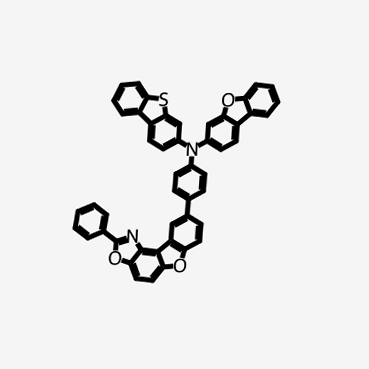 c1ccc(-c2nc3c(ccc4oc5ccc(-c6ccc(N(c7ccc8c(c7)oc7ccccc78)c7ccc8c(c7)sc7ccccc78)cc6)cc5c43)o2)cc1